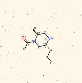 CCC[C@@H]1CN(C(C)=O)[C@@H](C)CN1